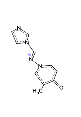 Cc1cn(/N=C/n2ccnc2)ccc1=O